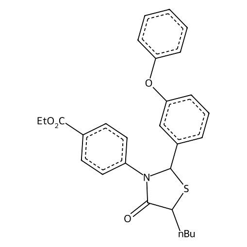 CCCCC1SC(c2cccc(Oc3ccccc3)c2)N(c2ccc(C(=O)OCC)cc2)C1=O